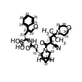 CC(C)(/C=C(\C#N)C(=O)N1C[C@@H]2C[C@@H]2[C@@H]1COC(=O)N[C@@H](Cc1coc2ccccc12)B(O)O)N1CCOCC1